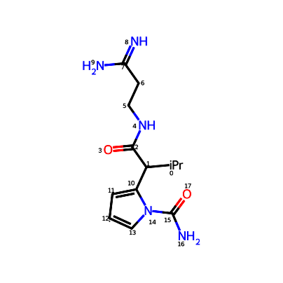 CC(C)C(C(=O)NCCC(=N)N)c1c[c]cn1C(N)=O